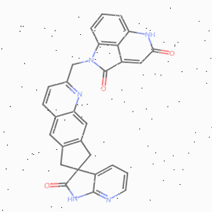 O=C1c2cc(=O)[nH]c3cccc(c23)N1Cc1ccc2cc3c(cc2n1)CC1(C3)C(=O)Nc2ncccc21